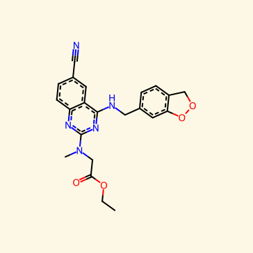 CCOC(=O)CN(C)c1nc(NCc2ccc3c(c2)OOC3)c2cc(C#N)ccc2n1